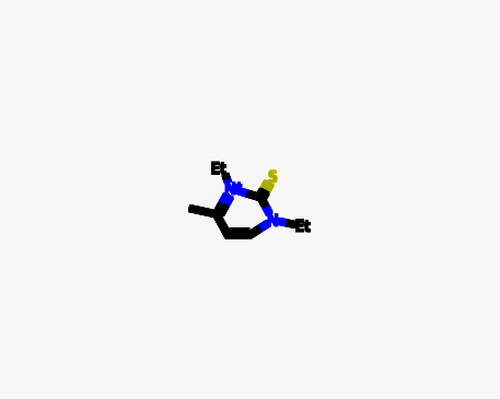 CCn1ccc(C)[n+](CC)c1=S